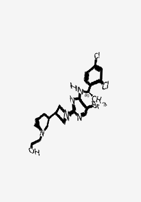 C[C@@H](Nc1nc(N2CC(C3CCCN(CCO)C3)C2)ncc1Br)c1ccc(Cl)cc1Cl